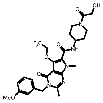 COc1cccc(Cn2c(C)nc3c(c(OCC(F)(F)F)c(C(=O)NC4CCN(C(=O)CO)CC4)n3C)c2=O)c1